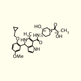 COc1ccc(OCC2CC2)c(C2NC(C)=C(C(=O)N[C@H]3CCN(C(=O)[C@H](C)O)C[C@H]3O)c3[nH]ccc32)c1